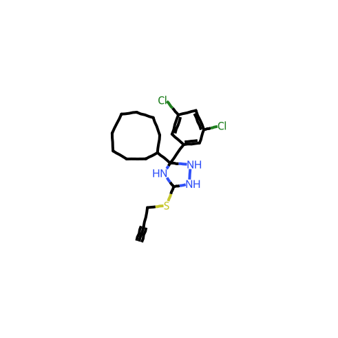 C#CCSC1NNC(c2cc(Cl)cc(Cl)c2)(C2CCCCCCCC2)N1